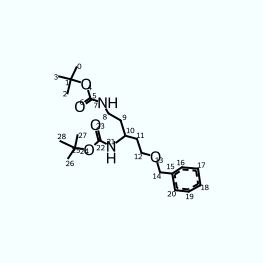 CC(C)(C)OC(=O)NCCC(CCOCc1ccccc1)NC(=O)OC(C)(C)C